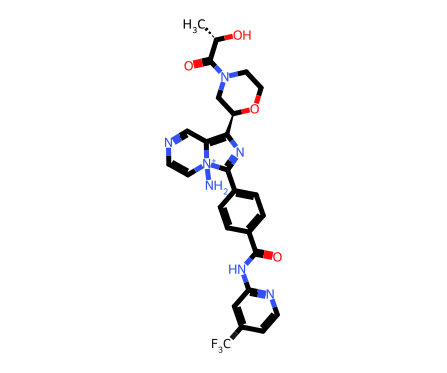 C[C@H](O)C(=O)N1CCO[C@@H](C2=C3C=NC=C[N+]3(N)C(c3ccc(C(=O)Nc4cc(C(F)(F)F)ccn4)cc3)=N2)C1